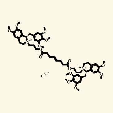 COc1cc2c(cc1OC)[C@@H](Cc1cc(OC)c(OC)c(OC)c1)[N@+](C)(CCCOC(=O)CCC=CCCC(=O)OCCC[N@+]1(C)CCc3cc(OC)c(OC)cc3[C@H]1Cc1cc(OC)c(OC)c(OC)c1)CC2.[Cl-].[Cl-]